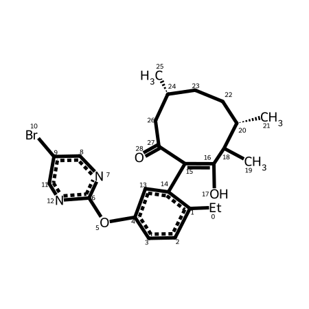 CCc1ccc(Oc2ncc(Br)cn2)cc1/C1=C(\O)C(C)[C@@H](C)CC[C@@H](C)CC1=O